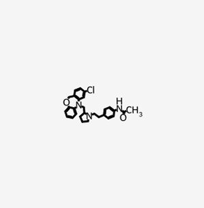 CC(=O)Nc1ccc(CCN2CCCC2CN2c3cc(Cl)ccc3COc3ccccc32)cc1